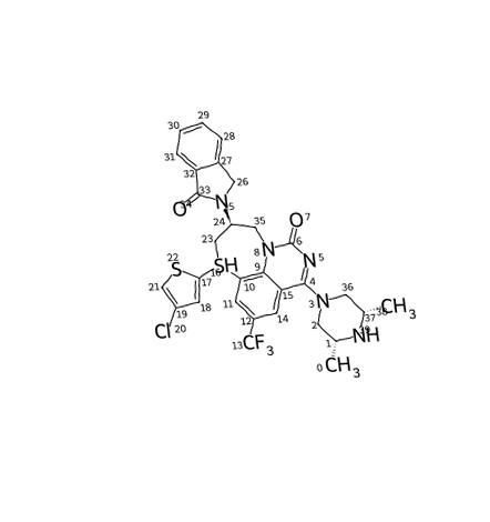 C[C@@H]1CN(c2nc(=O)n3c4c(cc(C(F)(F)F)cc24)[SH](c2cc(Cl)cs2)C[C@@H](N2Cc4ccccc4C2=O)C3)C[C@H](C)N1